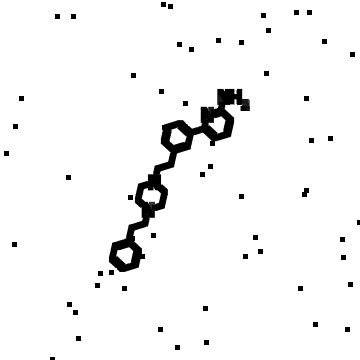 Nc1cccc(-c2cccc(CCN3CCN(CCc4ccccc4)CC3)c2)n1